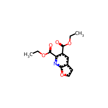 CCOC(=O)c1cc2ccoc2nc1C(=O)OCC